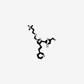 C[Si](C)(C)CCOCn1cc(/C=C/c2cccnc2)c(-c2nc(CF)c[nH]2)n1